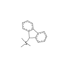 CS(C)(C)C1c2ccccc2-c2ccccc21